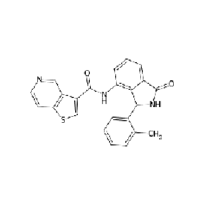 Cc1ccccc1C1NC(=O)c2cccc(NC(=O)c3csc4ccncc34)c21